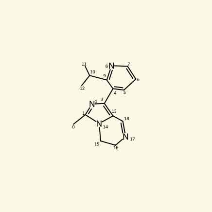 Cc1nc(-c2cccnc2C(C)C)c2n1CCN=C2